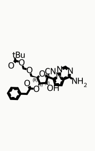 CC(C)(C)C(=O)OCOC[C@H]1O[C@@](C#N)(c2ccc3c(N)ncnn23)[C@H](O)[C@@H]1OC(=O)Cc1ccccc1